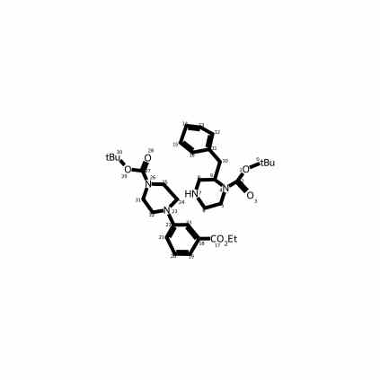 CC(C)(C)OC(=O)N1CCNCC1Cc1ccccc1.CCOC(=O)c1cccc(N2CCN(C(=O)OC(C)(C)C)CC2)c1